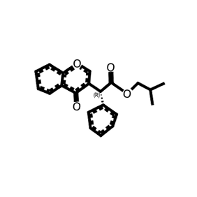 CC(C)COC(=O)[C@H](c1ccccc1)c1coc2ccccc2c1=O